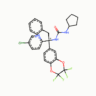 O=C(NC1CCCC1)N[C@](Cc1ccccc1)(c1ccc2c(c1)OC(F)(F)C(F)(F)O2)c1ccc(Cl)cn1